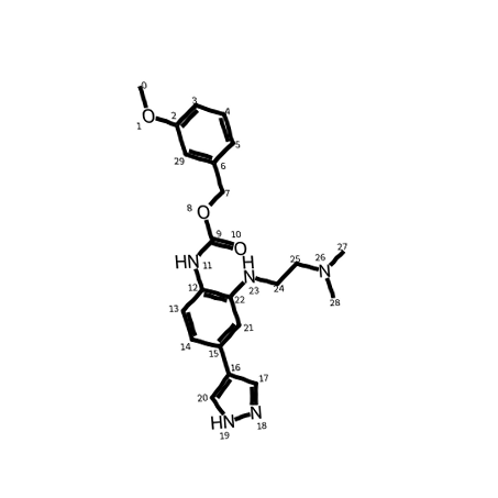 COc1cccc(COC(=O)Nc2ccc(-c3cn[nH]c3)cc2NCCN(C)C)c1